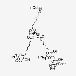 CCCCCCCC/N=N\CCCCCCCC(=O)ON(NOC(=O)CCCCCCCC(O)C(CC(OC(=O)N=N)C(O)CCCCC)OC(=O)N=N)NOC(=O)CCCCCCCC(OC(=O)N=N)C(O)CCCCCCCC